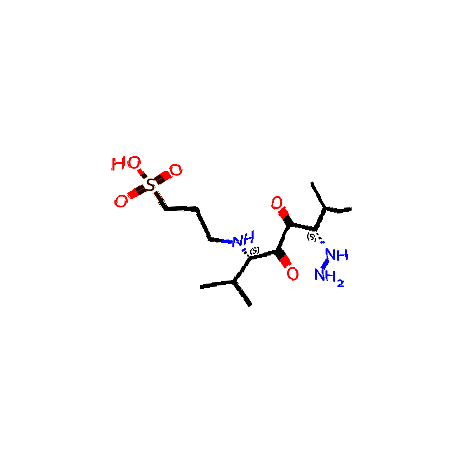 CC(C)[C@H](NN)C(=O)C(=O)[C@@H](NCCCS(=O)(=O)O)C(C)C